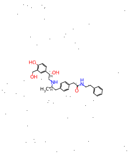 C[C@H](Cc1ccc(CC(=O)NCCc2ccccc2)cc1)NC[C@@H](O)c1ccc(O)c(CO)c1